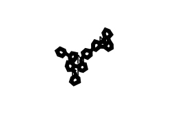 c1ccc(-c2ccc(N(c3ccc(-c4ccc5c(c4)c4cccc6c7ccccc7n5c64)cc3)c3cccc4c3c3ccccc3n4-c3ccccc3)cc2)cc1